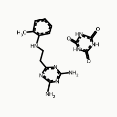 Cc1ccccc1NCCc1nc(N)nc(N)n1.O=c1[nH]c(=O)[nH]c(=O)[nH]1